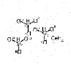 Cl[SiH](Cl)Cl.Cl[SiH](Cl)Cl.Cl[SiH](Cl)Cl.[GeH4]